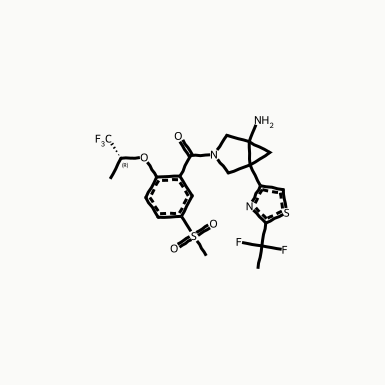 C[C@@H](Oc1ccc(S(C)(=O)=O)cc1C(=O)N1CC2(N)CC2(c2csc(C(C)(F)F)n2)C1)C(F)(F)F